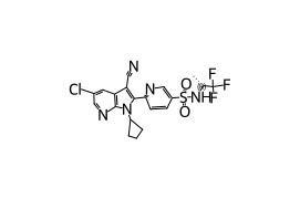 C[C@@H](NS(=O)(=O)c1ccc(-c2c(C#N)c3cc(Cl)cnc3n2C2CCC2)nc1)C(F)(F)F